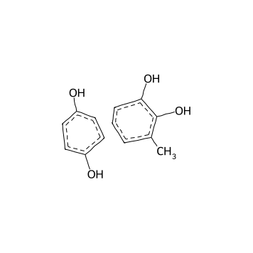 Cc1cccc(O)c1O.Oc1ccc(O)cc1